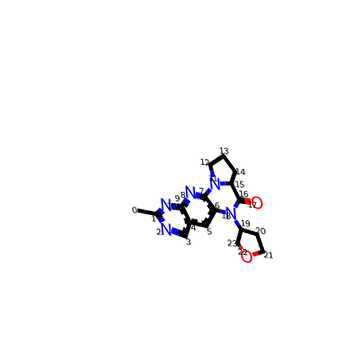 Cc1ncc2cc3c(nc2n1)N1CCCC1C(=O)N3C1CCOC1